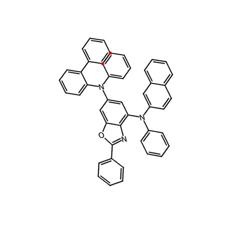 c1ccc(-c2nc3c(N(c4ccccc4)c4ccc5ccccc5c4)cc(N(c4ccccc4)c4ccccc4-c4ccccc4)cc3o2)cc1